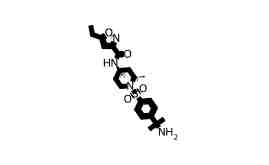 CCc1cc(C(=O)N[C@@H]2CCN(S(=O)(=O)c3ccc(C(C)(C)N)cc3)[C@@H](C)C2)no1